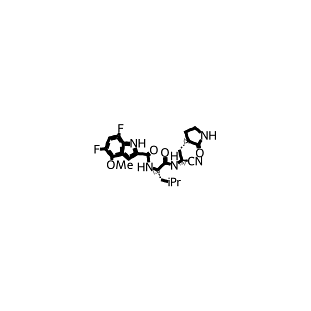 COc1c(F)cc(F)c2[nH]c(C(=O)N[C@@H](CC(C)C)C(=O)N[C@H](C#N)C[C@@H]3CCNC3=O)cc12